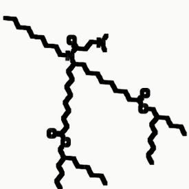 CCCCCCCCCN(C(=O)CCN(C)C)C(CCCCCCCCC(=O)OCC(CCCC)CCCCCC)CCCCCCCCC(=O)OCC(CCCC)CCCCCC